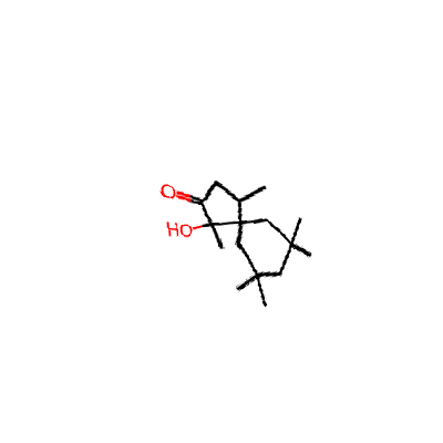 CC1CC(=O)C(C)(O)C12CC(C)(C)CC(C)(C)C2